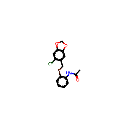 CC(=O)Nc1ccccc1SCc1cc2c(cc1Cl)OCO2